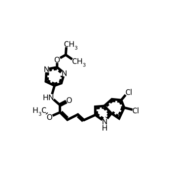 CO/C(=C/C=C/c1cc2cc(Cl)c(Cl)cc2[nH]1)C(=O)Nc1cnc(OC(C)C)nc1